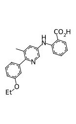 CCOc1cccc(-c2ncc(Nc3ccccc3C(=O)O)cc2C)c1